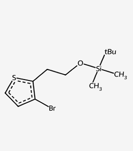 CC(C)(C)[Si](C)(C)OCCc1sccc1Br